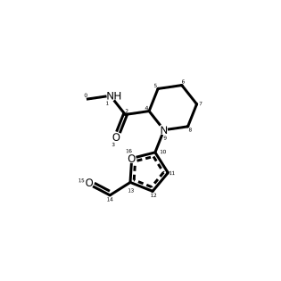 CNC(=O)C1CCCCN1c1ccc(C=O)o1